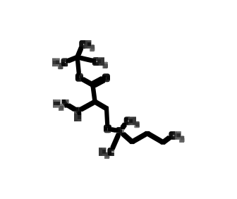 CCCC[Si](C)(C)OCC(NN)C(=O)OC(C)(C)C